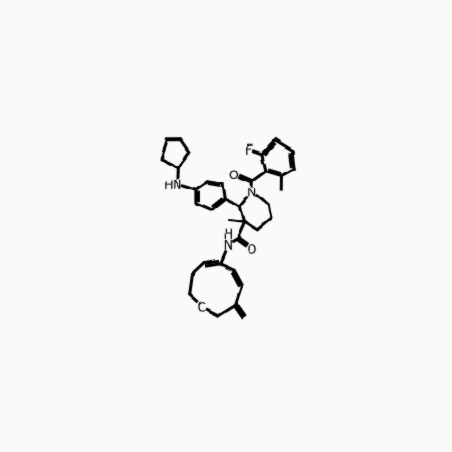 C=C1/C=C\C(NC(=O)C2(C)CCCN(C(=O)c3c(C)cccc3F)C2c2ccc(NC3CCCC3)cc2)=C/CCCC1